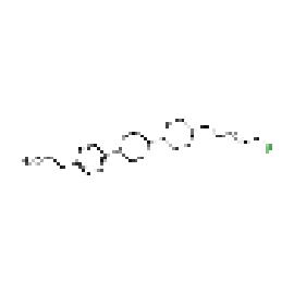 CCCc1ccc(C2CCC([C@H]3CC[C@H](CC/C=C/CF)CC3)CC2)cc1